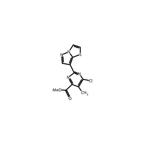 COC(=O)c1nc(-c2cnn3ccsc23)nc(Cl)c1C